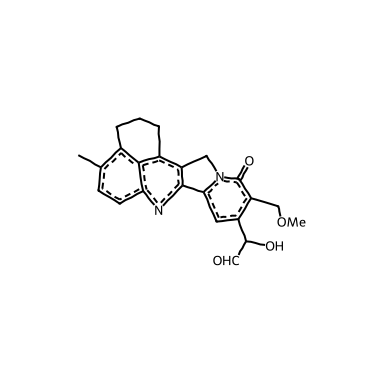 COCc1c(C(O)C=O)cc2n(c1=O)Cc1c-2nc2ccc(C)c3c2c1CCC3